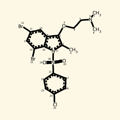 Cc1c(OCCN(C)C)c2cc(Br)cc(Br)c2n1S(=O)(=O)c1ccc(Cl)cc1